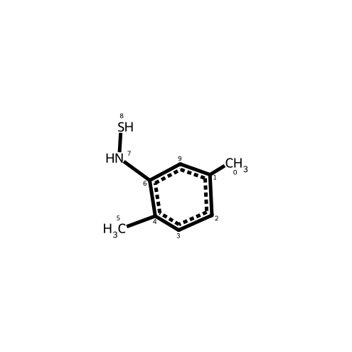 Cc1ccc(C)c(NS)c1